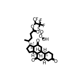 CC(CCC(=O)OC(C(F)(F)F)C(F)(F)SOOO)[C@H]1CC[C@H]2[C@@H]3C(=O)C[C@@H]4CC(=O)CC[C@@H]4[C@H]3CC(=O)[C@]12C